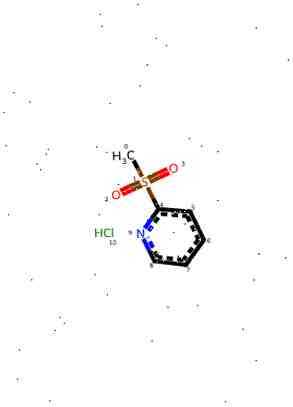 CS(=O)(=O)c1ccccn1.Cl